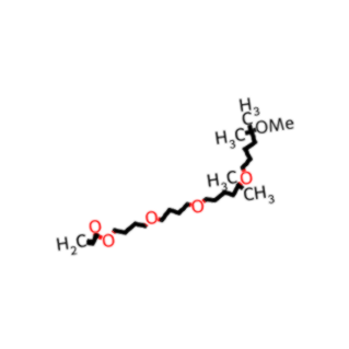 C=CC(=O)OCCCCOCCCCOCCCCC(C)(C)OCCCCC(C)(C)OC